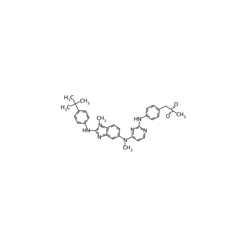 CN(c1ccc2c(c1)nc(Nc1ccc(C(C)(C)C)cc1)n2C)c1ccnc(Nc2ccc(CS(C)(=O)=O)cc2)n1